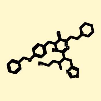 CC(C)CCN(C)C(Cc1cscn1)C(=O)NC(Cc1ccc(OCc2ccccc2)cc1)C(=O)NCCN1CCCCC1